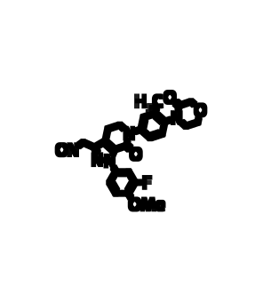 COc1ccc(-n2nc(CN=O)c3c2C(=O)N(c2ccc(N4CCOCC4=O)c(C)c2)CC3)cc1F